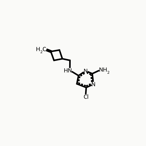 C=C1CC(CNc2cc(Cl)nc(N)n2)C1